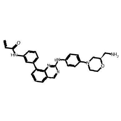 C=CC(=O)Nc1cccc(-c2cccc3cnc(Nc4ccc(N5CCO[C@H](CN)C5)cc4)nc23)c1